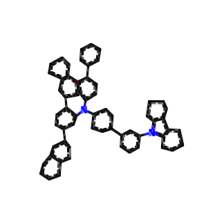 c1ccc(-c2ccc(N(c3ccc(-c4cccc(-n5c6ccccc6c6ccccc65)c4)cc3)c3cc(-c4ccc5ccccc5c4)ccc3-c3ccc4ccccc4c3)cc2)cc1